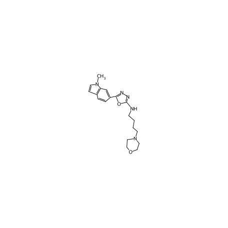 Cn1ccc2ccc(-c3nnc(NCCCCN4CCOCC4)o3)cc21